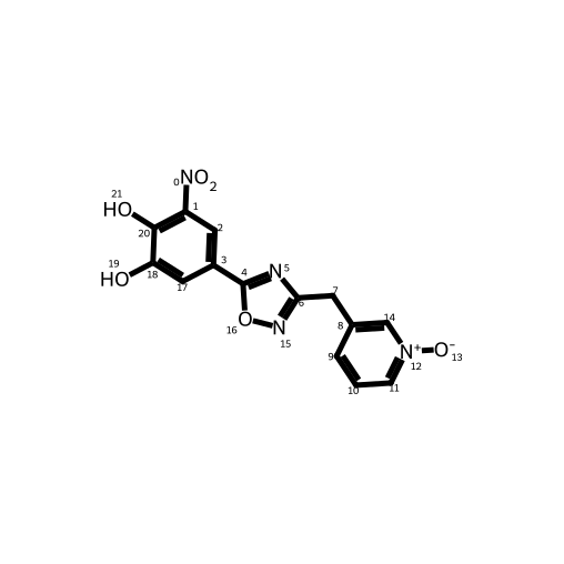 O=[N+]([O-])c1cc(-c2nc(Cc3ccc[n+]([O-])c3)no2)cc(O)c1O